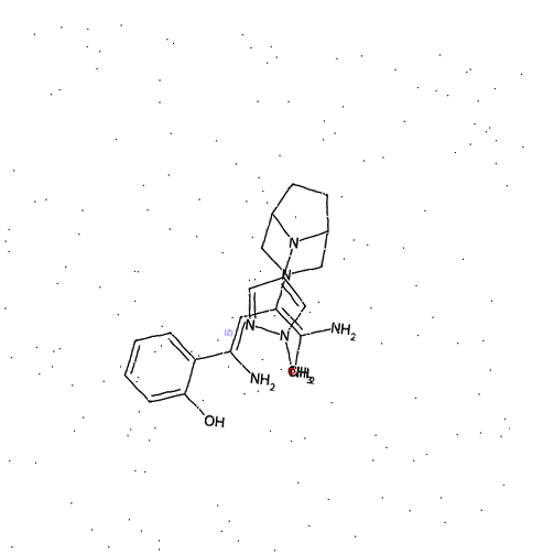 Cn1cc(N2C3CCC2CN(C(/C=C(\N)c2ccccc2O)=C(N)N)C3)cn1